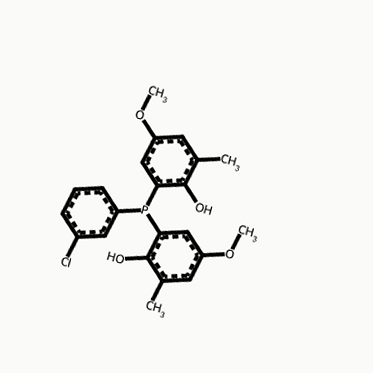 COc1cc(C)c(O)c(P(c2cccc(Cl)c2)c2cc(OC)cc(C)c2O)c1